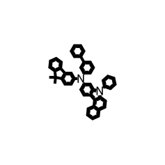 CC1(C)c2ccccc2-c2cc(N(c3cccc(-c4ccccc4)c3)c3ccc4c5c6ccccc6ccc5n(-c5ccccc5)c4c3)ccc21